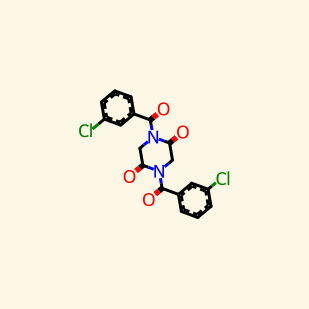 O=C1CN(C(=O)c2cccc(Cl)c2)C(=O)CN1C(=O)c1cccc(Cl)c1